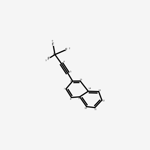 FC(F)(F)C#Cc1ccc2ccccc2c1